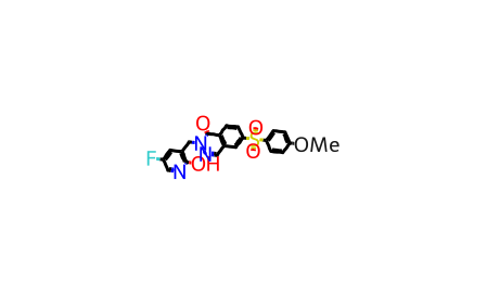 COc1ccc(S(=O)(=O)c2ccc3c(=O)n(Cc4cc(F)cnc4O)ncc3c2)cc1